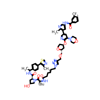 Cc1ncc(NC(=O)c2cccc(C(F)(F)F)c2)cc1-c1cnc(O[C@H]2CCO[C@@H](COCc3cn(CCCCCC(=O)NC(C(=O)N4C[C@H](O)C[C@H]4C(=O)NC(C)c4ccc(-c5scnc5C)cc4)C(C)(C)C)nn3)C2)c(N2CCOCC2)c1